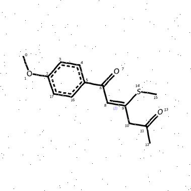 COc1ccc(C(=O)/C=C(/CC(C)=O)SC)cc1